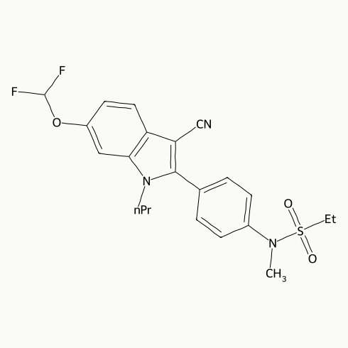 CCCn1c(-c2ccc(N(C)S(=O)(=O)CC)cc2)c(C#N)c2ccc(OC(F)F)cc21